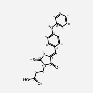 O=C(O)CCN1C(=O)C(=Cc2ccc(Oc3ccccc3)cc2)SC1=S